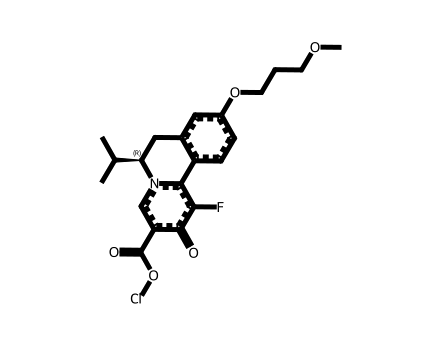 COCCCOc1ccc2c(c1)C[C@H](C(C)C)n1cc(C(=O)OCl)c(=O)c(F)c1-2